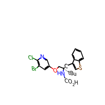 CC(C)(C)[C@](COc1cnc(Cl)c(Br)c1)(Cc1csc2ccccc12)NC(=O)O